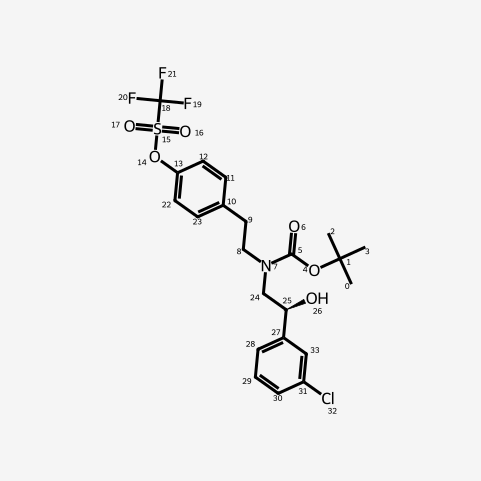 CC(C)(C)OC(=O)N(CCc1ccc(OS(=O)(=O)C(F)(F)F)cc1)C[C@@H](O)c1cccc(Cl)c1